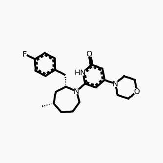 C[C@H]1CCCN(c2cc(N3CCOCC3)cc(=O)[nH]2)[C@@H](Cc2ccc(F)cc2)C1